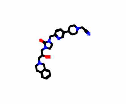 N#CCN1CCC(c2ccc(CN3CCN(CC(O)CN4CCc5ccccc5C4)C3=O)nc2)CC1